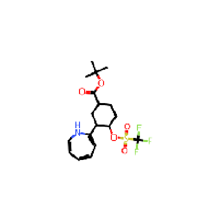 CC(C)(C)OC(=O)C1CCC(OS(=O)(=O)C(F)(F)F)C(C2=CC=CC=CN2)C1